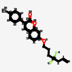 C=CCC(F)(F)CCCOc1ccc2cc(-c3ccc(CC)cc3)c(=O)oc2c1